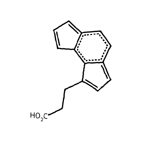 O=C(O)CCC1=CC=c2ccc3c(c21)C=CC=3